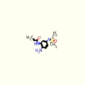 C=CC(=O)Nc1cc(N=S(C)(C)=O)ccc1N